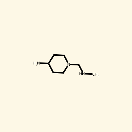 CNCN1CCC(N)CC1